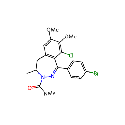 CNC(=O)N1N=C(c2ccc(Br)cc2)c2c(cc(OC)c(OC)c2Cl)CC1C